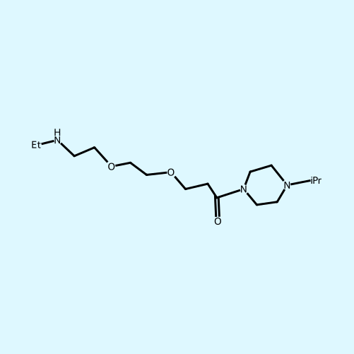 CCNCCOCCOCCC(=O)N1CCN(C(C)C)CC1